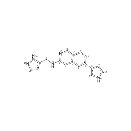 c1cc(CNc2cc3cc(-c4cn[nH]c4)ccc3cn2)[nH]n1